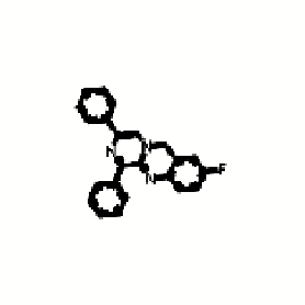 Fc1ccc2c(c1)CN1C=C(c3ccccc3)N=C(c3ccccc3)C1=N2